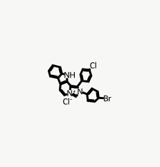 Clc1ccc(-c2c3c4[nH]c5ccccc5c4cc[n+]3cn2-c2ccc(Br)cc2)cc1.[Cl-]